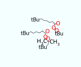 CC(C)(C)CCCCCC(=O)OOC(C)(C)C.CC(C)(C)CCCCCC(=O)OOC(C)(C)CC(C)(C)C